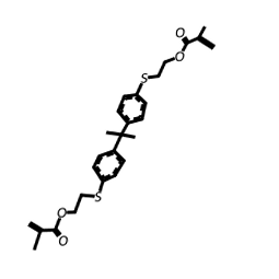 C=C(C)C(=O)OCCSc1ccc(C(C)(C)c2ccc(SCCOC(=O)C(=C)C)cc2)cc1